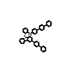 c1ccc(-c2ccc(-c3ccc(N(c4ccccc4)c4cc(-c5ccc(-c6ccccc6)cc5)cc5c4sc4ccccc45)cc3)cc2)cc1